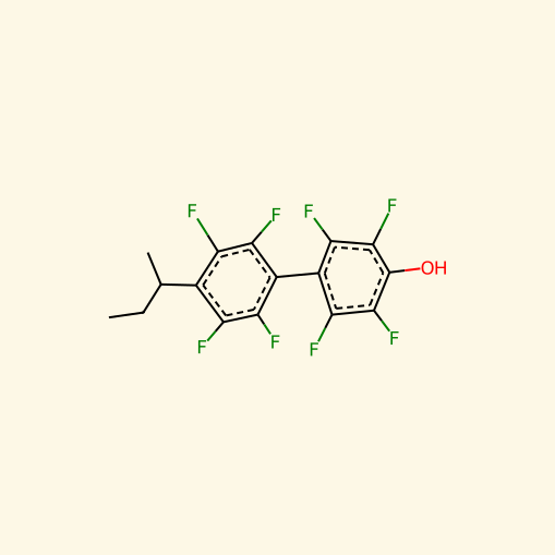 CCC(C)c1c(F)c(F)c(-c2c(F)c(F)c(O)c(F)c2F)c(F)c1F